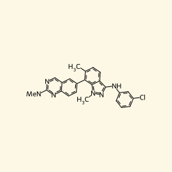 CNc1ncc2cc(-c3c(C)ccc4c(Nc5cccc(Cl)c5)nn(C)c34)ccc2n1